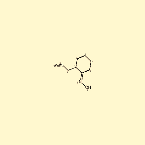 CCCCCCC1CCCCC1=NO